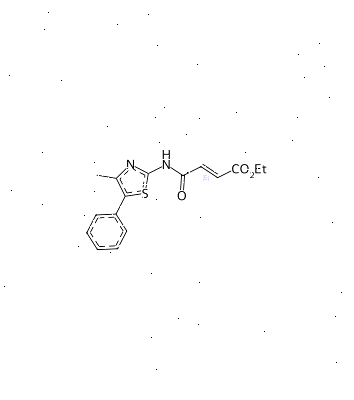 CCOC(=O)/C=C/C(=O)Nc1nc(C)c(-c2ccccc2)s1